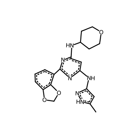 Cc1cc(Nc2cc(NC3CCOCC3)nc(-c3cccc4c3OCO4)n2)n[nH]1